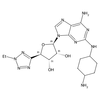 CCn1nnc([C@H]2O[C@@H](n3cnc4c(N)nc(NC5CCC(N)CC5)nc43)[C@H](O)[C@@H]2O)n1